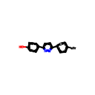 CCCc1ccc(-c2ccc(-c3ccc(O)cc3)nn2)cc1